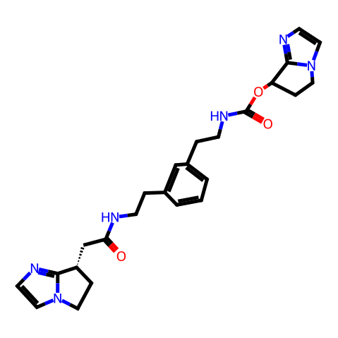 O=C(C[C@@H]1CCn2ccnc21)NCCc1cccc(CCNC(=O)OC2CCn3ccnc32)c1